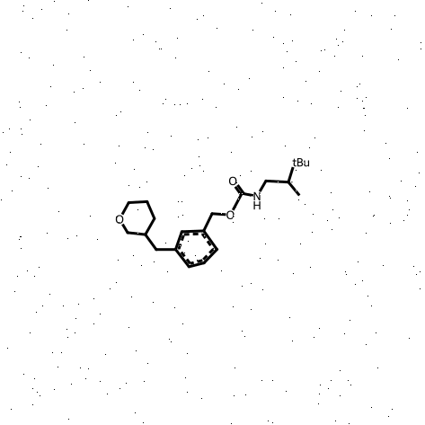 C[C](CNC(=O)OCc1cccc(CC2CCCOC2)c1)C(C)(C)C